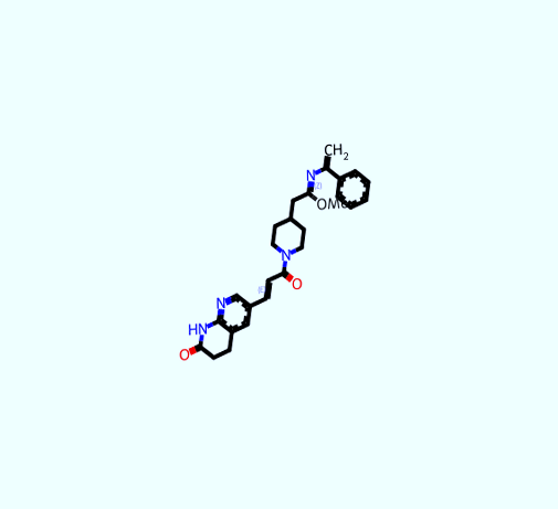 C=C(/N=C(/CC1CCN(C(=O)/C=C/c2cnc3c(c2)CCC(=O)N3)CC1)OC)c1ccccc1